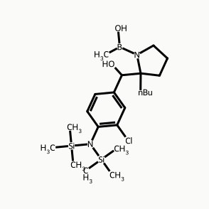 CCCCC1(C(O)c2ccc(N([Si](C)(C)C)[Si](C)(C)C)c(Cl)c2)CCCN1B(C)O